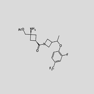 CC(=O)OC[C@]1(N)C[C@@H](C(=O)N2CC(C(C)Oc3ccc(C(F)(F)F)cc3F)C2)C1